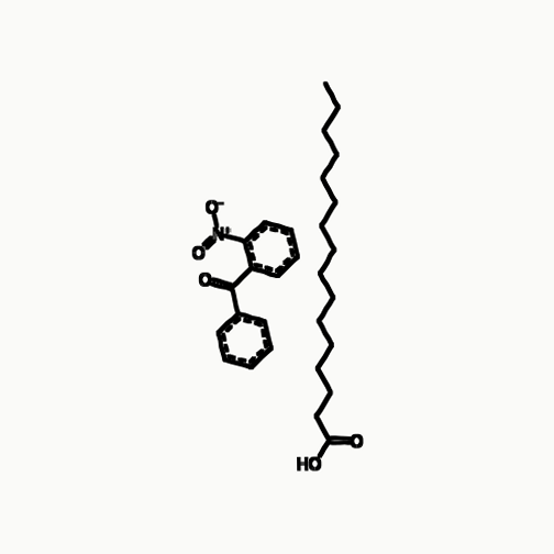 CCCCCCCCCCCCCCCC(=O)O.O=C(c1ccccc1)c1ccccc1[N+](=O)[O-]